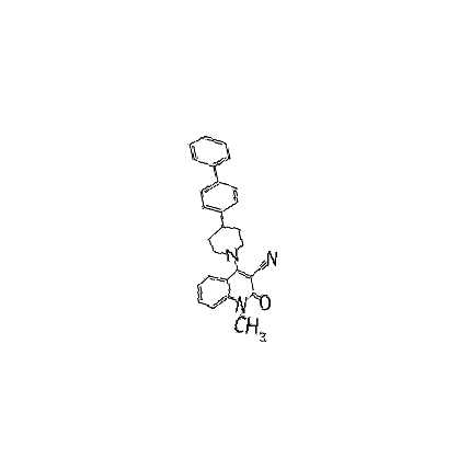 Cn1c(=O)c(C#N)c(N2CCC(c3ccc(-c4ccccc4)cc3)CC2)c2ccccc21